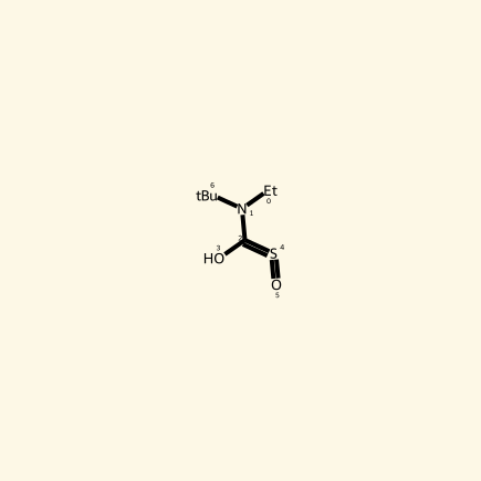 CCN(C(O)=S=O)C(C)(C)C